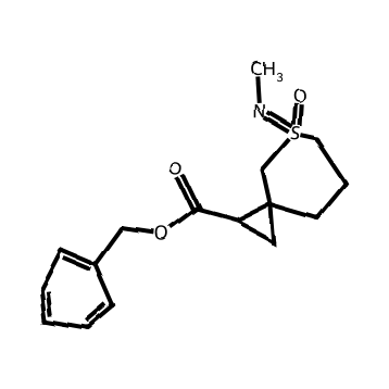 CN=S1(=O)CCCC2(CC2C(=O)OCc2ccccc2)C1